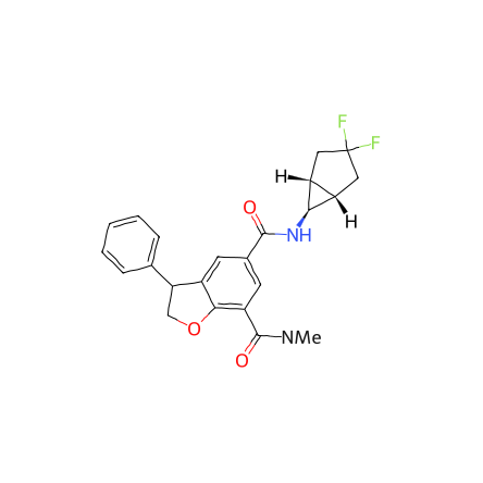 CNC(=O)c1cc(C(=O)N[C@H]2[C@@H]3CC(F)(F)C[C@@H]32)cc2c1OCC2c1ccccc1